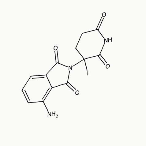 Nc1cccc2c1C(=O)N(C1(I)CCC(=O)NC1=O)C2=O